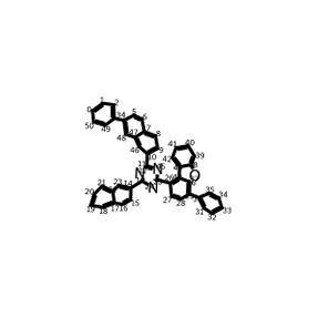 c1ccc(-c2ccc3ccc(-c4nc(-c5ccc6ccccc6c5)nc(-c5ccc(-c6ccccc6)c6oc7ccccc7c56)n4)cc3c2)cc1